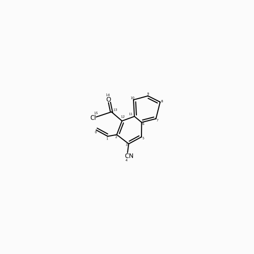 C=Cc1c(C#N)cc2ccccc2c1C(=O)Cl